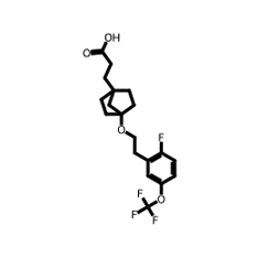 O=C(O)CCC12CCC(OCCc3cc(OC(F)(F)F)ccc3F)(CC1)C2